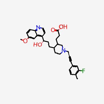 COc1ccc2nccc([C@@H](O)CCC3CCN(CC#Cc4ccc(C)c(F)c4)CC3CCC(=O)O)c2c1